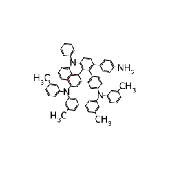 Cc1cccc(N(c2ccc(-c3c(-c4ccc(N)cc4)ccc(N(c4ccccc4)c4ccccc4)c3-c3ccc(N(c4cccc(C)c4)c4cccc(C)c4)cc3)cc2)c2cccc(C)c2)c1